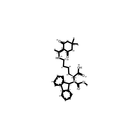 COC(=O)N(C1c2ccccc2-c2ccccc21)[C@@H](CCCCNC(C)=C1C(=O)CC(C)(C)CC1=O)C(=O)O